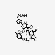 CCOc1nc(N2CC[C@H](CNC)C2)ncc1C(=O)Nc1cc(F)c2nc(C)cn2c1.Cc1ccc(S(=O)(=O)O)cc1